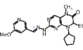 CCC1C(=O)N(C)c2cnc(N/N=C/c3cncc(OC)c3)nc2N1C1CCCC1